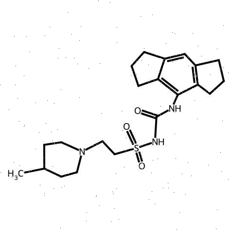 CC1CCN(CCS(=O)(=O)NC(=O)Nc2c3c(cc4c2CCC4)CCC3)CC1